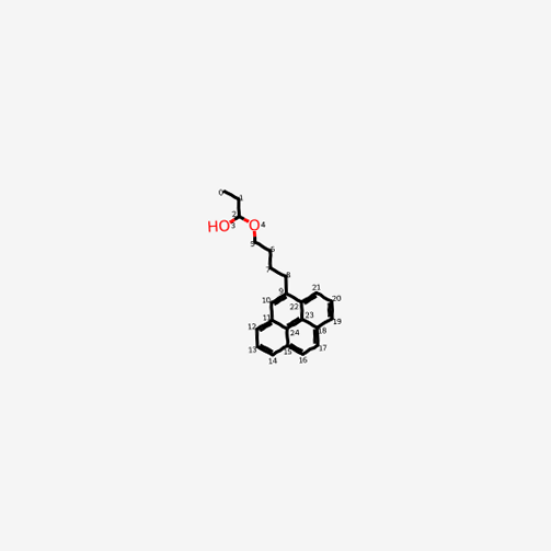 CCC(O)OCCCCc1cc2cccc3ccc4cccc1c4c32